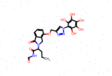 CCCC(C(=O)NC=O)N1Cc2c(OCc3cn(-c4c(O)c(O)c(O)c(O)c4O)nn3)cccc2C1=O